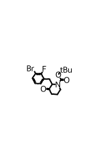 CC(C)(C)OC(=O)N1CCCC(=O)C1Cc1cccc(Br)c1F